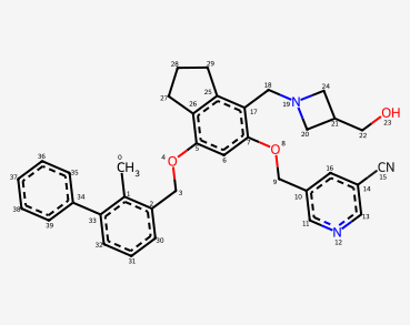 Cc1c(COc2cc(OCc3cncc(C#N)c3)c(CN3CC(CO)C3)c3c2CCC3)cccc1-c1ccccc1